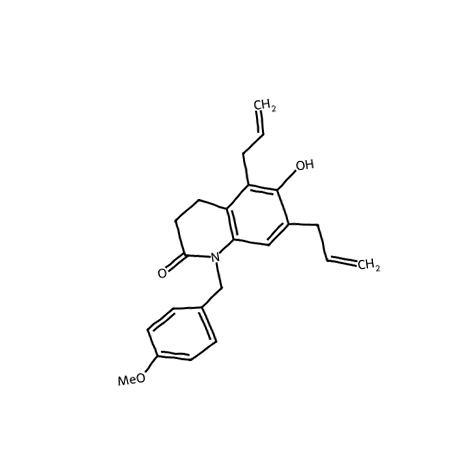 C=CCc1cc2c(c(CC=C)c1O)CCC(=O)N2Cc1ccc(OC)cc1